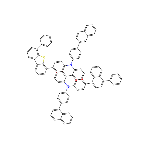 c1ccc(-c2ccc(-c3ccc(N(c4ccc(-c5cccc6ccccc56)cc4)c4ccccc4-c4ccccc4N(c4ccc(-c5ccc6ccccc6c5)cc4)c4ccc(-c5cccc6c5sc5c(-c7ccccc7)cccc56)cc4)cc3)c3ccccc23)cc1